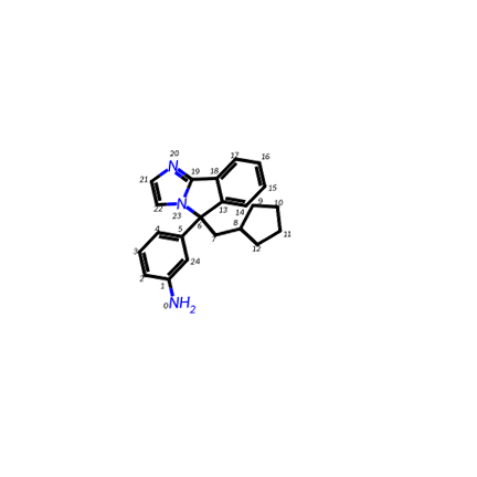 Nc1cccc(C2(CC3CCCC3)c3ccccc3-c3nccn32)c1